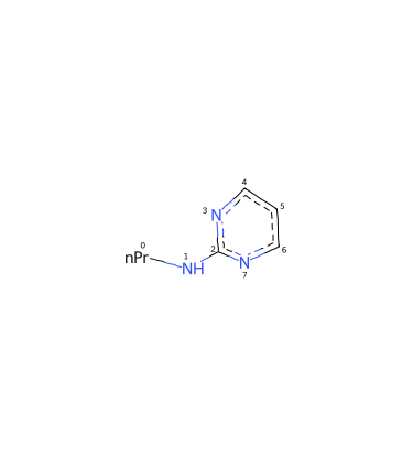 CCCNc1ncccn1